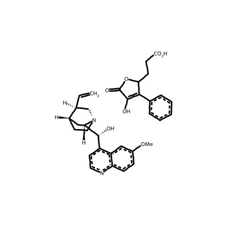 C=C[C@H]1C[N@]2CC[C@H]1C[C@H]2[C@H](O)c1ccnc2ccc(OC)cc12.O=C(O)CCC1OC(=O)C(O)=C1c1ccccc1